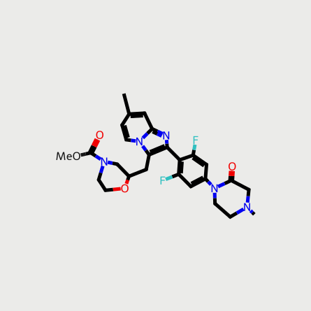 COC(=O)N1CCOC(Cc2c(-c3c(F)cc(N4CCN(C)CC4=O)cc3F)nc3cc(C)ccn23)C1